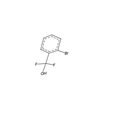 OC(F)(F)c1ccccc1Br